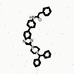 O=C(Cc1ccccc1)Nc1ccc(-c2ccc3ncc(N4CCN(C(c5ccccc5)c5ccccc5)CC4)nc3c2)cc1